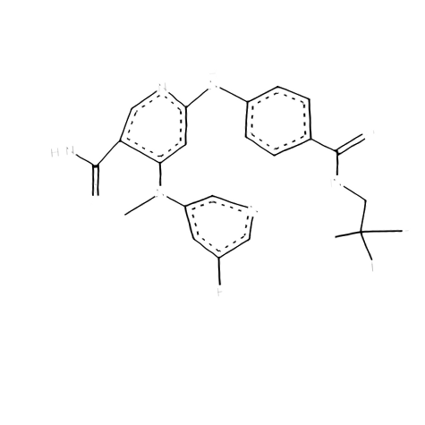 CN(c1cncc(F)c1)c1cc(Nc2ccc(C(=O)NCC(F)(F)F)cc2)ncc1C(N)=O